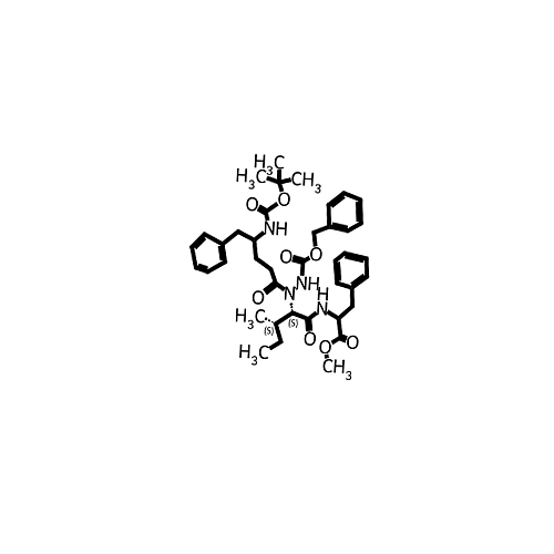 CC[C@H](C)[C@@H](C(=O)NC(Cc1ccccc1)C(=O)OC)N(NC(=O)OCc1ccccc1)C(=O)CCC(Cc1ccccc1)NC(=O)OC(C)(C)C